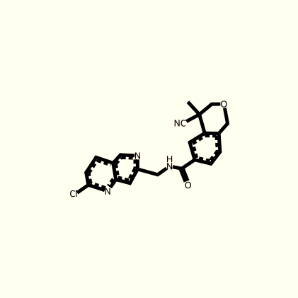 CC1(C#N)COCc2ccc(C(=O)NCc3cc4nc(Cl)ccc4cn3)cc21